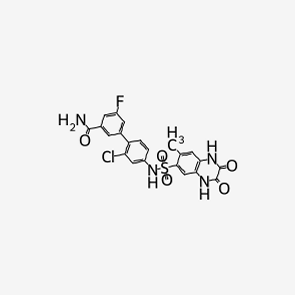 Cc1cc2[nH]c(=O)c(=O)[nH]c2cc1S(=O)(=O)Nc1ccc(-c2cc(F)cc(C(N)=O)c2)c(Cl)c1